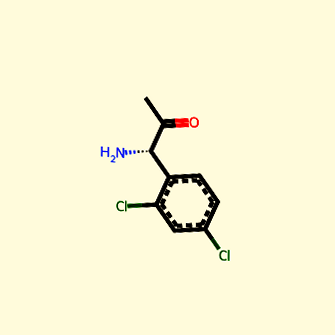 CC(=O)[C@@H](N)c1ccc(Cl)cc1Cl